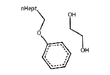 CCCCCCCCOc1ccccc1.OCCO